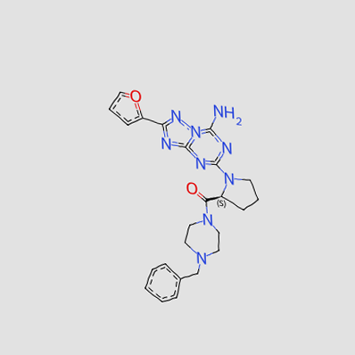 Nc1nc(N2CCC[C@H]2C(=O)N2CCN(Cc3ccccc3)CC2)nc2nc(-c3ccco3)nn12